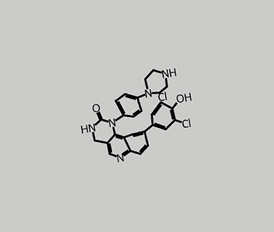 O=C1NCc2cnc3ccc(-c4cc(Cl)c(O)c(Cl)c4)cc3c2N1c1ccc(N2CCNCC2)cc1